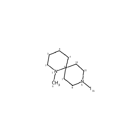 CN1CCCCC12CCN(I)CC2